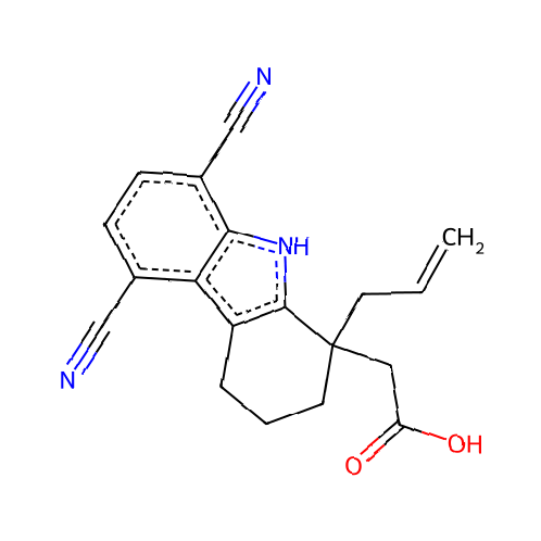 C=CCC1(CC(=O)O)CCCc2c1[nH]c1c(C#N)ccc(C#N)c21